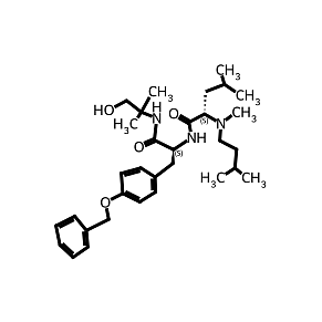 CC(C)CCN(C)[C@@H](CC(C)C)C(=O)N[C@@H](Cc1ccc(OCc2ccccc2)cc1)C(=O)NC(C)(C)CO